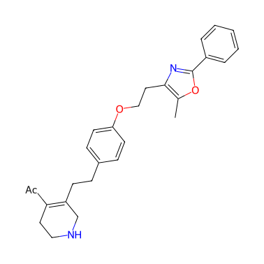 CC(=O)C1=C(CCc2ccc(OCCc3nc(-c4ccccc4)oc3C)cc2)CNCC1